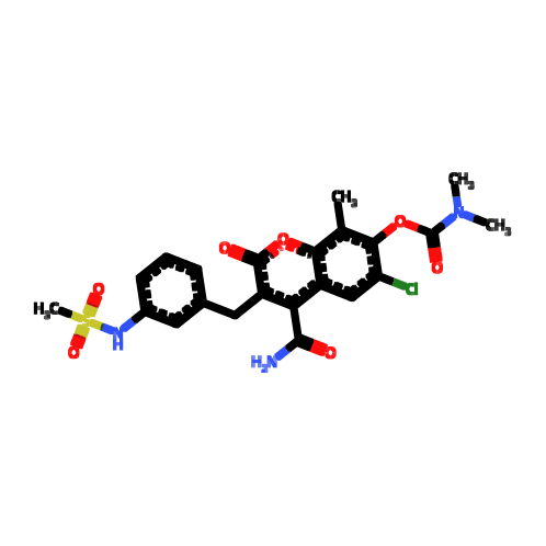 Cc1c(OC(=O)N(C)C)c(Cl)cc2c(C(N)=O)c(Cc3cccc(NS(C)(=O)=O)c3)c(=O)oc12